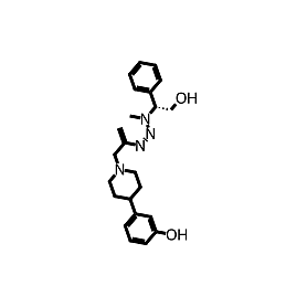 C=C(CN1CCC(c2cccc(O)c2)CC1)/N=N\N(C)[C@@H](CO)c1ccccc1